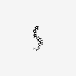 CCCCOC(=O)c1cc2cc(-c3ccc(-c4ccc(-c5cccs5)s4)s3)sc2cn1